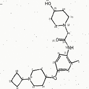 Cc1cc(OC2CCN(C3CCC3)CC2)ccc1NC(=O)CN1CCC(O)CC1